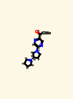 COC(=O)c1cnc(N2CC[C@H](N3CCCC3)C2)cn1